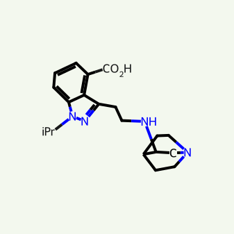 CC(C)n1nc(CCNC2CN3CCC2CC3)c2c(C(=O)O)cccc21